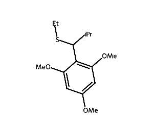 CCSC(c1c(OC)cc(OC)cc1OC)C(C)C